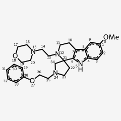 COc1ccc2[nH]c3c(c2c1)CCN(CCN1CCOCC1)C31CCN(CCOc2ccccc2)C1